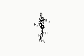 CCCCNCC(O)COc1ccc(-c2nc3c(N)nc(N)nc3nc2N)cc1